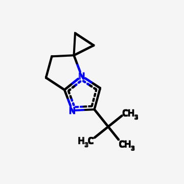 CC(C)(C)c1cn2c(n1)CCC21CC1